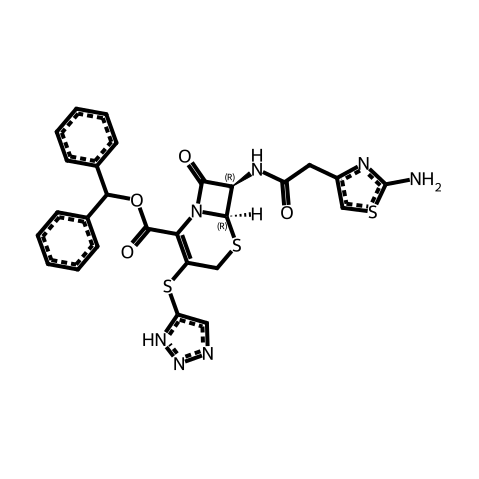 Nc1nc(CC(=O)N[C@@H]2C(=O)N3C(C(=O)OC(c4ccccc4)c4ccccc4)=C(Sc4cnn[nH]4)CS[C@H]23)cs1